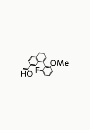 C=C(O)c1ccc2c(c1)C(c1c(F)cccc1OC)=CCC2